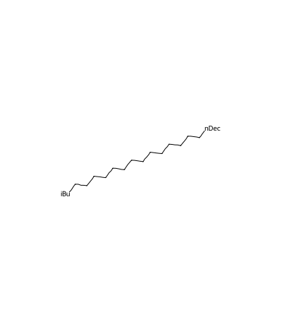 CCCCCCCCCCCCCCCCCCCCCCCCC(C)CC